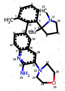 Cc1cccc(C2(C(C)(C)C)CCCN2C=O)c1-c1ccc2nc(N)c(N3CCOCC3)cc2c1